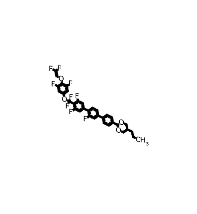 CCCC1COC(c2ccc(-c3ccc(-c4cc(F)c(C(F)(F)Oc5cc(F)c(OC=C(F)F)c(F)c5)c(F)c4)c(F)c3)cc2)OC1